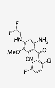 COc1c(NCC(F)F)cc(N)c(C(=O)c2cc(F)ccc2Cl)c1C#N